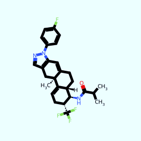 CC(C)C(=O)N[C@H]1[C@H](C(F)(F)F)CC=C2[C@@H]1CCC1=Cc3c(cnn3-c3ccc(F)cc3)C[C@@]12C